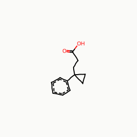 O=C(O)CCC1(c2ccccc2)CC1